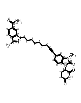 Cc1nn(CCCCCCCC#Cc2ccc3c(c2)n(C)c(=O)n3C2CCC(=O)NC2=O)c2cc(C(N)=O)ccc12